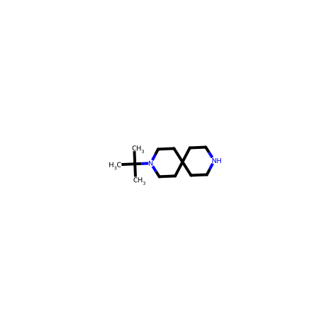 CC(C)(C)N1CCC2(CCNCC2)CC1